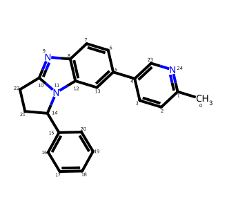 Cc1ccc(-c2ccc3nc4n(c3c2)C(c2ccccc2)CC4)cn1